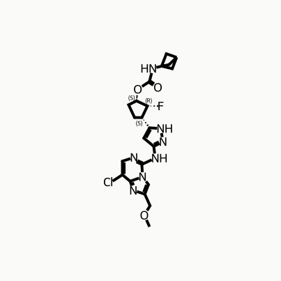 COCc1cn2c(Nc3cc([C@@H]4CC[C@H](OC(=O)NC56CC(C5)C6)[C@@H]4F)[nH]n3)ncc(Cl)c2n1